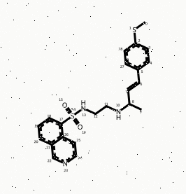 CSc1ccc(C=CC(C)NCCNS(=O)(=O)c2cccc3cnccc23)cc1